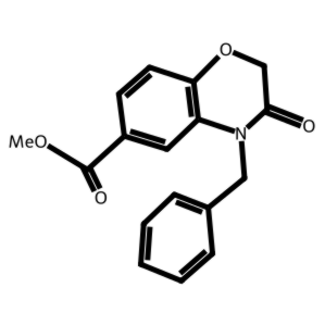 COC(=O)c1ccc2c(c1)N(Cc1ccccc1)C(=O)CO2